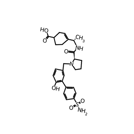 C[C@H](NC(=O)[C@H]1CCCN1Cc1ccc(O)c(-c2ccc(S(N)(=O)=O)cc2)c1)C1=CCC(C(=O)O)CC1